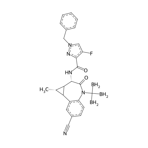 BC(B)(B)N1C(=O)[C@@H](NC(=O)c2nn(Cc3ccccc3)cc2F)C2C(c3cc(C#N)ccc31)[C@@H]2C